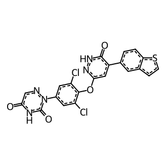 O=c1cnn(-c2cc(Cl)c(Oc3cc(-c4ccc5sccc5c4)c(=O)[nH]n3)c(Cl)c2)c(=O)[nH]1